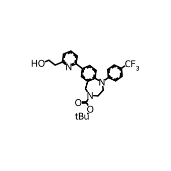 CC(C)(C)OC(=O)N1CCN(c2ccc(C(F)(F)F)cc2)c2ccc(-c3cccc(CCO)n3)cc2C1